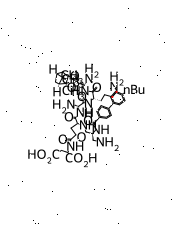 CCCCc1ccc(-c2ccc(C(=O)N[C@@H](CN)C(=O)NC(CCC(=O)N[C@H](CC(=O)O)C(=O)O)C(=O)N[C@@H](N)C(=O)N[C@@H](CCCCN)C(=O)N[C@@H](N)B3OC4C[C@@H]5C[C@@H](C5(C)C)[C@]4(C)O3)cc2)cc1